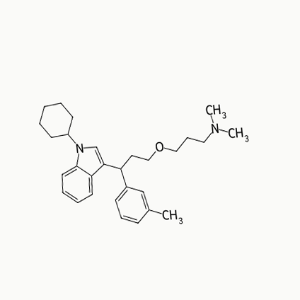 Cc1cccc(C(CCOCCCN(C)C)c2cn(C3CCCCC3)c3ccccc23)c1